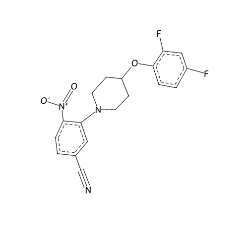 N#Cc1ccc([N+](=O)[O-])c(N2CCC(Oc3ccc(F)cc3F)CC2)c1